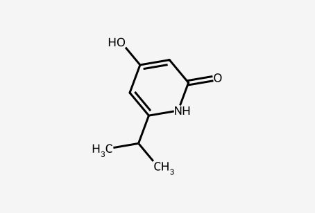 CC(C)c1cc(O)cc(=O)[nH]1